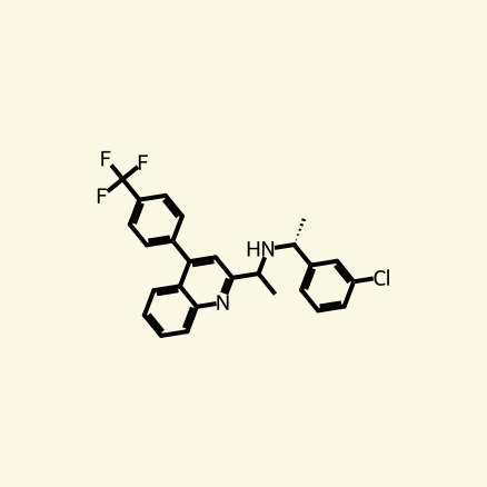 CC(N[C@H](C)c1cccc(Cl)c1)c1cc(-c2ccc(C(F)(F)F)cc2)c2ccccc2n1